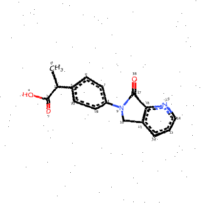 CC(C(=O)O)c1ccc(N2Cc3cccnc3C2=O)cc1